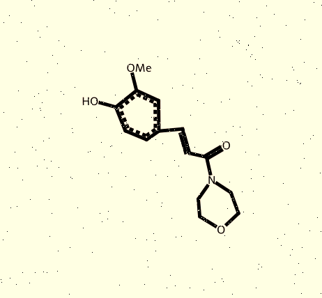 COc1cc(C=CC(=O)N2CCOCC2)ccc1O